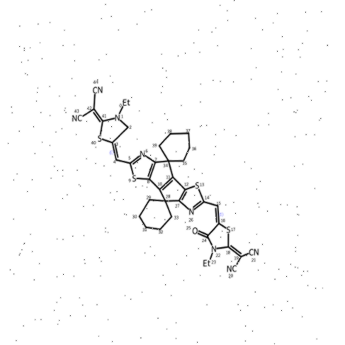 CCN1C/C(=C\c2nc3c(s2)C2=C(c4sc(/C=c5/sc(=C(C#N)C#N)n(CC)c5=O)nc4C24CCCCC4)C32CCCCC2)SC1=C(C#N)C#N